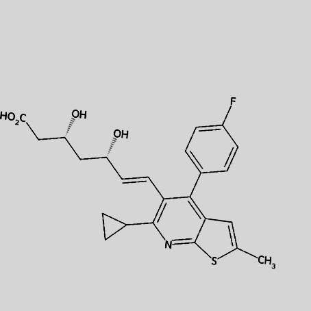 Cc1cc2c(-c3ccc(F)cc3)c(/C=C/[C@@H](O)C[C@@H](O)CC(=O)O)c(C3CC3)nc2s1